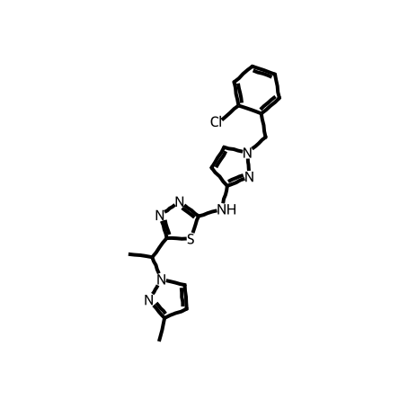 Cc1ccn(C(C)c2nnc(Nc3ccn(Cc4ccccc4Cl)n3)s2)n1